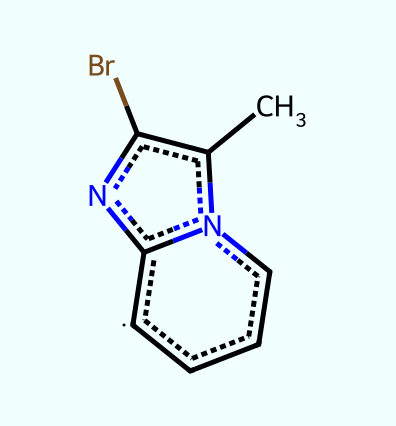 Cc1c(Br)nc2[c]cccn12